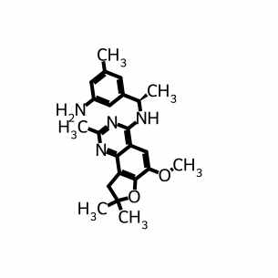 COc1cc2c(N[C@H](C)c3cc(C)cc(N)c3)nc(C)nc2c2c1OC(C)(C)C2